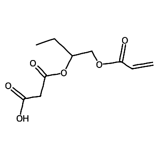 C=CC(=O)OCC(CC)OC(=O)CC(=O)O